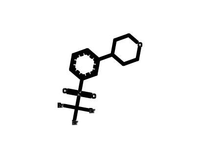 O=S(=O)(c1cccc(C2CCOCC2)c1)C(Br)(Br)Br